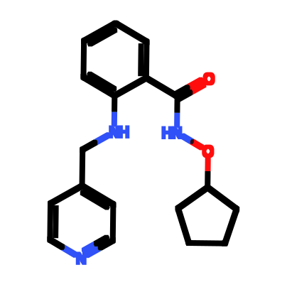 O=C(NOC1CCCC1)c1ccccc1NCc1ccncc1